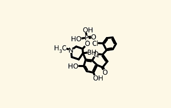 BC1(c2c(O)cc(O)c3c(=O)cc(-c4ccccc4Cl)oc23)CCN(C)CC1OP(=O)(O)O